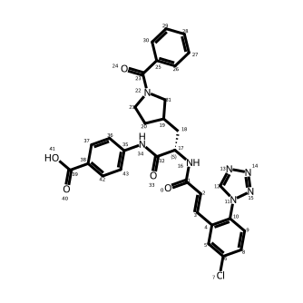 O=C(C=Cc1cc(Cl)ccc1-n1cnnn1)N[C@@H](CC1CCN(C(=O)c2ccccc2)C1)C(=O)Nc1ccc(C(=O)O)cc1